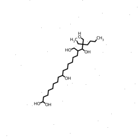 CCCCC(CC)(CO)C(O)C(CO)CCCCCCC(O)CCCCCCCC(O)O